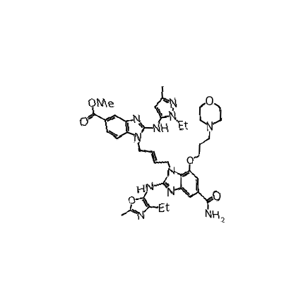 CCc1nc(C)oc1Nc1nc2cc(C(N)=O)cc(OCCCN3CCOCC3)c2n1C/C=C/Cn1c(Nc2cc(C)nn2CC)nc2cc(C(=O)OC)ccc21